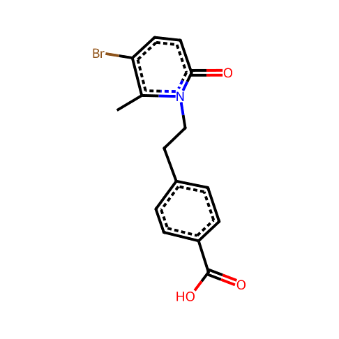 Cc1c(Br)ccc(=O)n1CCc1ccc(C(=O)O)cc1